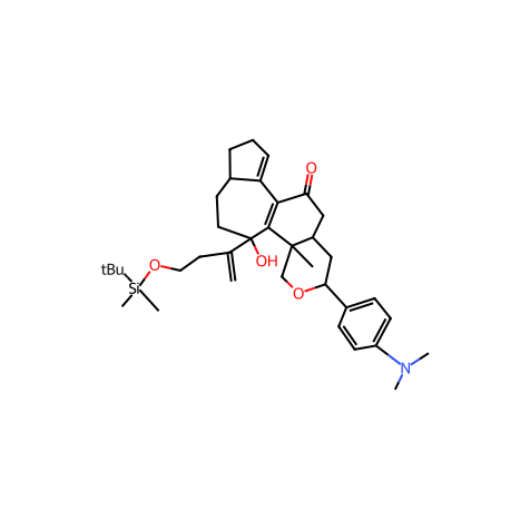 C=C(CCO[Si](C)(C)C(C)(C)C)C1(O)CCC2CCC=C2C2=C1C1(C)COC(c3ccc(N(C)C)cc3)CC1CC2=O